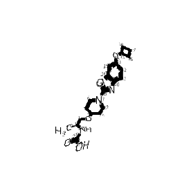 C[C@@H](COC1CCN(c2nc3ccc(OC4CCC4)cc3o2)CC1)NC(=O)O